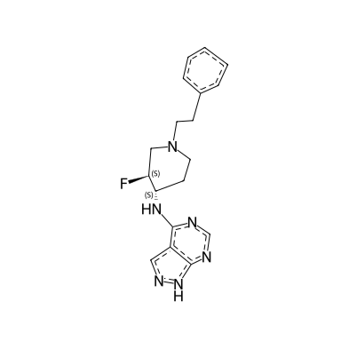 F[C@H]1CN(CCc2ccccc2)CC[C@@H]1Nc1ncnc2[nH]ncc12